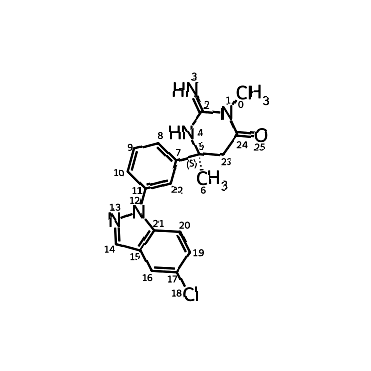 CN1C(=N)N[C@](C)(c2cccc(-n3ncc4cc(Cl)ccc43)c2)CC1=O